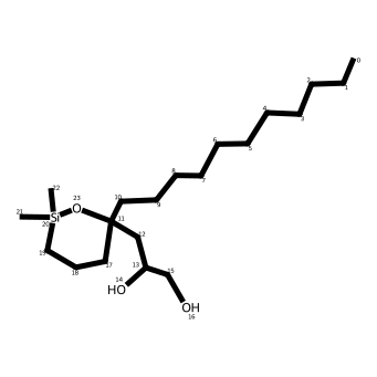 CCCCCCCCCCCC1(CC(O)CO)CCC[Si](C)(C)O1